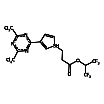 O=C(CC[SH]1C=CC(c2nc(C(Cl)(Cl)Cl)nc(C(Cl)(Cl)Cl)n2)=C1)OC(C(F)(F)F)C(F)(F)F